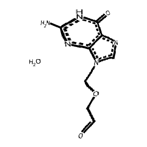 Nc1nc2c(ncn2COCC=O)c(=O)[nH]1.O